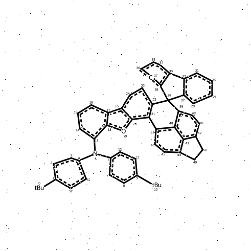 CC(C)(C)c1ccc(N(c2ccc(C(C)(C)C)cc2)c2cccc3c2oc2c4c(ccc23)C2(c3ccccc3-c3ccccc32)c2ccc3c5c(ccc-4c25)CC3)cc1